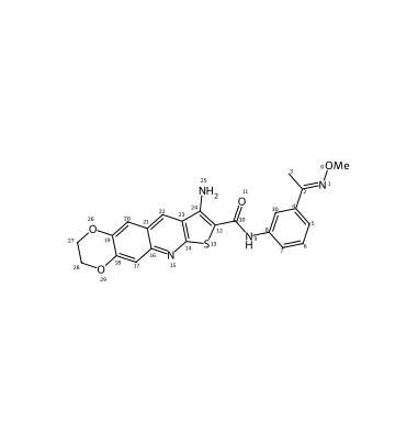 CO/N=C(\C)c1cccc(NC(=O)c2sc3nc4cc5c(cc4cc3c2N)OCCO5)c1